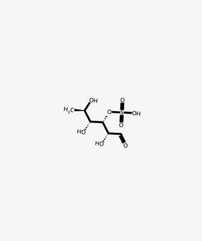 C[C@@H](O)[C@@H](O)[C@H](OS(=O)(=O)O)[C@@H](O)[C]=O